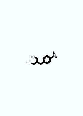 CN(C)c1ccc(CC(CO)CO)cc1